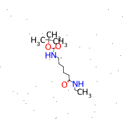 CCNC(=O)CCCC[CH]NC(=O)OC(C)(C)C